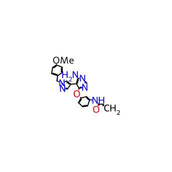 C=CC(=O)Nc1cccc(Oc2ncnc(N)c2-c2cnn(Cc3ccc(OC)cc3)c2)c1